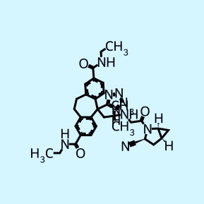 CCNC(=O)c1ccc2c(c1)CCc1cc(C(=O)NCC)ccc1C2(CC(C)(C)NCC(=O)N1[C@H](C#N)C[C@@H]2C[C@@H]21)c1nnn[nH]1